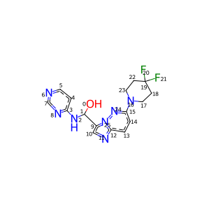 OC(Nc1ccncn1)c1cnc2ccc(N3CCC(F)(F)CC3)nn12